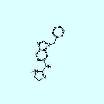 c1ccc(Cn2cnc3ccc(NC4=NCCN4)cc32)cc1